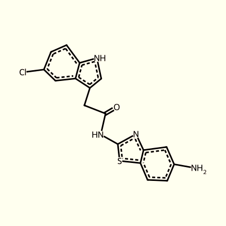 Nc1ccc2sc(NC(=O)Cc3c[nH]c4ccc(Cl)cc34)nc2c1